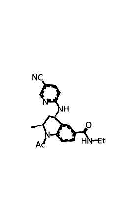 CCNC(=O)c1ccc2c(c1)[C@H](Nc1ccc(C#N)cn1)C[C@H](C)N2C(C)=O